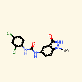 CCCn1[nH]c(=O)c2cc(NC(=O)Nc3ccc(Cl)cc3Cl)ccc21